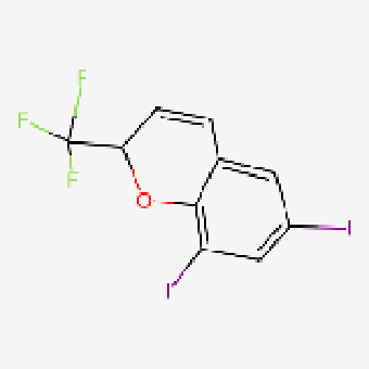 FC(F)(F)C1C=Cc2cc(I)cc(I)c2O1